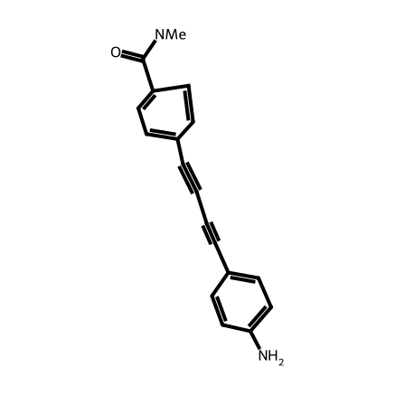 CNC(=O)c1ccc(C#CC#Cc2ccc(N)cc2)cc1